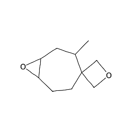 CC1CC2OC2CCC12COC2